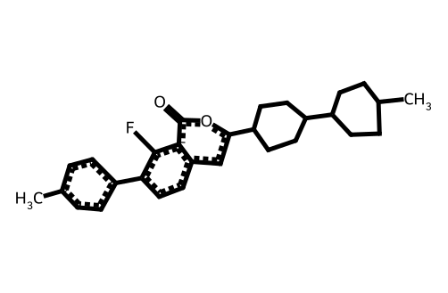 Cc1ccc(-c2ccc3cc(C4CCC(C5CCC(C)CC5)CC4)oc(=O)c3c2F)cc1